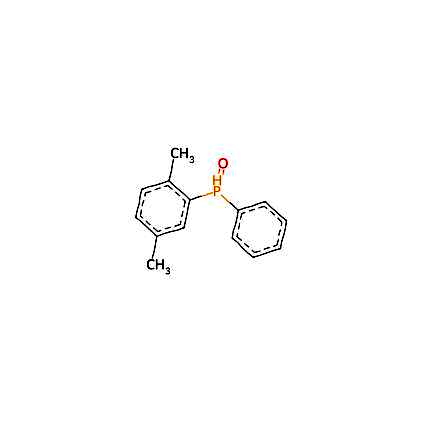 Cc1ccc(C)c([PH](=O)c2ccccc2)c1